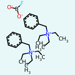 CC[N+](CC)(CC)Cc1ccccc1.CC[N+](CC)(CC)Cc1ccccc1.[O-]B([O-])F